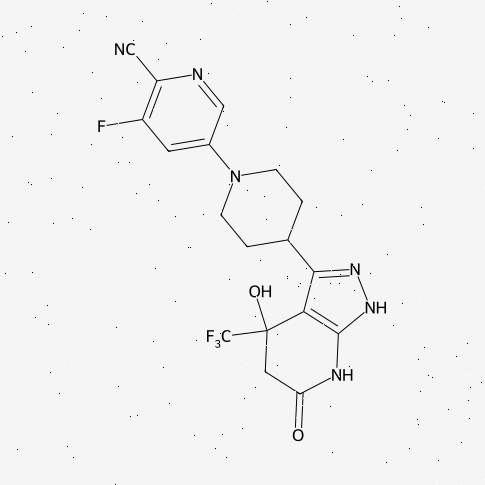 N#Cc1ncc(N2CCC(c3n[nH]c4c3C(O)(C(F)(F)F)CC(=O)N4)CC2)cc1F